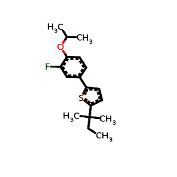 CCC(C)(C)c1ccc(-c2ccc(OC(C)C)c(F)c2)s1